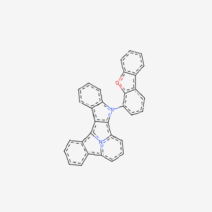 c1ccc2c(c1)oc1c(-n3c4ccccc4c4c3c3cccc5c6ccccc6c4n53)cccc12